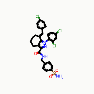 NS(=O)(=O)c1ccc(CNC(=O)c2nn(-c3ccc(Cl)cc3Cl)c3c2CCCC/C3=C\c2ccc(Cl)cc2)cc1